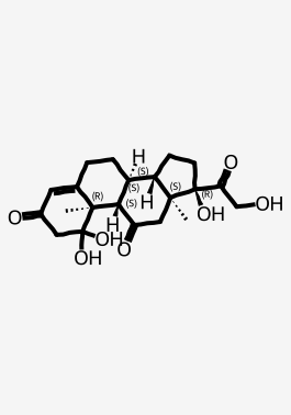 C[C@@]12C(=CC(=O)CC1(O)O)CC[C@@H]1[C@@H]2C(=O)C[C@@]2(C)[C@H]1CC[C@]2(O)C(=O)CO